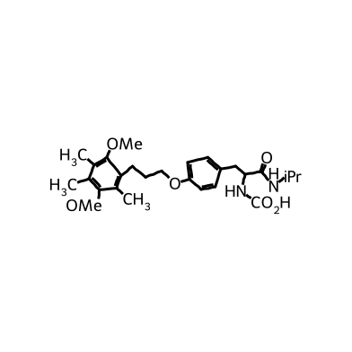 COc1c(C)c(C)c(OC)c(CCCOc2ccc(CC(NC(=O)O)C(=O)NC(C)C)cc2)c1C